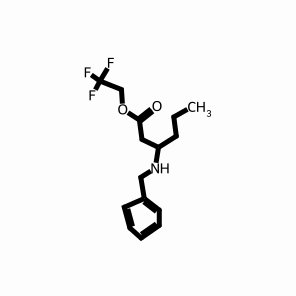 CCCC(CC(=O)OCC(F)(F)F)NCc1ccccc1